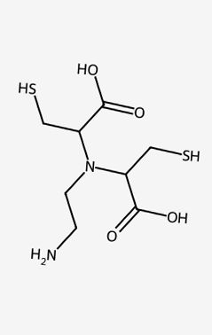 NCCN(C(CS)C(=O)O)C(CS)C(=O)O